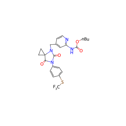 CCCCOC(=O)Nc1cc(CN2C(=O)N(c3ccc(SC(F)(F)F)cc3)C(=O)C23CC3)ccn1